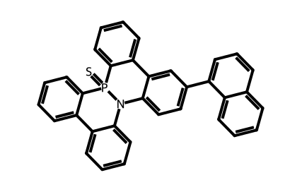 S=P12c3ccccc3-c3ccccc3N1c1ccc(-c3cccc4ccccc34)cc1-c1ccccc12